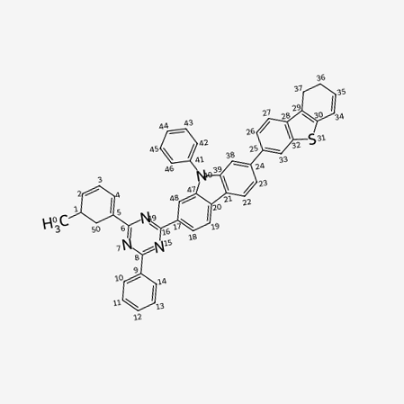 CC1C=CC=C(c2nc(-c3ccccc3)nc(-c3ccc4c5ccc(-c6ccc7c8c(sc7c6)C=CCC8)cc5n(-c5ccccc5)c4c3)n2)C1